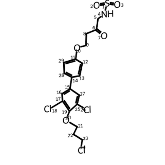 CS(=O)(=O)NCC(=O)CCOc1ccc(-c2cc(Cl)c(OCCCCl)c(Cl)c2)cc1